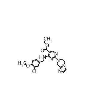 CCOC(=O)c1cnc(N2CCn3ccnc3C2)nc1NCc1ccc(OC)c(Cl)c1